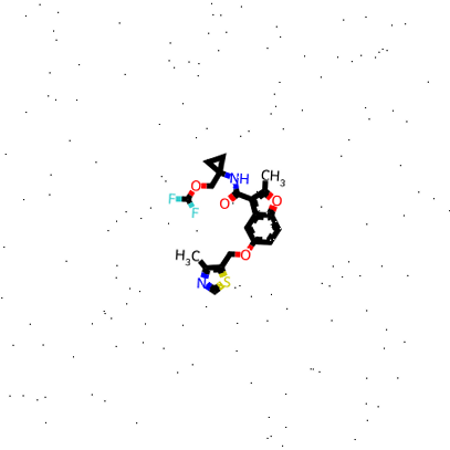 Cc1ncsc1COc1ccc2oc(C)c(C(=O)NC3(COC(F)F)CC3)c2c1